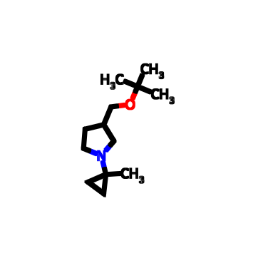 CC(C)(C)OCC1CCN(C2(C)CC2)C1